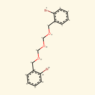 Brc1ccccc1COCOCOCc1ccccc1Br